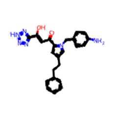 Nc1ccc(Cn2cc(CCc3ccccc3)cc2C(=O)C=C(O)c2nn[nH]n2)cc1